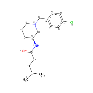 CC(C)CCC(=O)N[C@H]1CCCN(Cc2ccc(Cl)cc2)C1